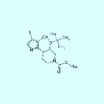 Cc1c(I)cnn1C1CCN(C(=O)OC(C)(C)C)CC1O[Si](C)(C)C(C)(C)C